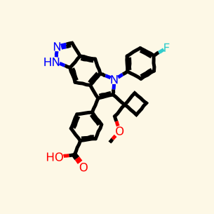 COCC1(c2c(-c3ccc(C(=O)O)cc3)c3cc4[nH]ncc4cc3n2-c2ccc(F)cc2)CCC1